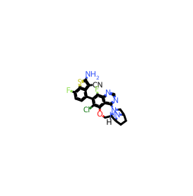 N#Cc1c(N)sc2c(F)ccc(-c3c(Cl)c4c5c(ncnc5c3F)N3CC5CCC(N5)[C@H]3CO4)c12